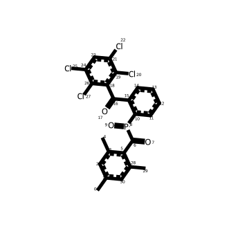 Cc1cc(C)c(C(=O)[P](=O)c2ccccc2C(=O)c2c(Cl)c(Cl)cc(Cl)c2Cl)c(C)c1